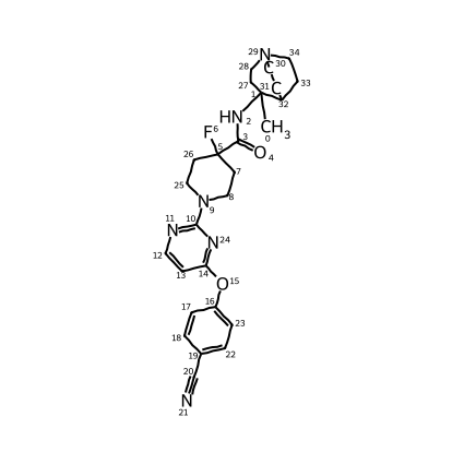 CC1(NC(=O)C2(F)CCN(c3nccc(Oc4ccc(C#N)cc4)n3)CC2)CCN2CCC1CC2